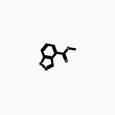 COC(=O)c1cccc2c1C=N[N]2